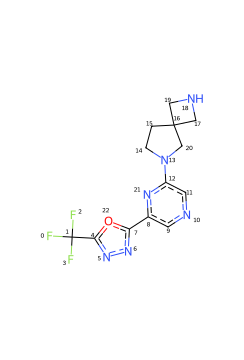 FC(F)(F)c1nnc(-c2cncc(N3CCC4(CNC4)C3)n2)o1